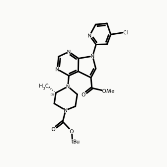 COC(=O)c1cn(-c2cc(Cl)ccn2)c2ncnc(N3CCN(C(=O)OC(C)(C)C)C[C@@H]3C)c12